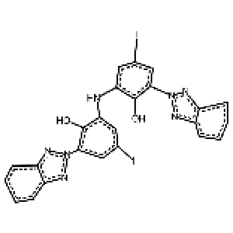 Oc1c(Nc2cc(I)cc(-n3nc4ccccc4n3)c2O)cc(I)cc1-n1nc2ccccc2n1